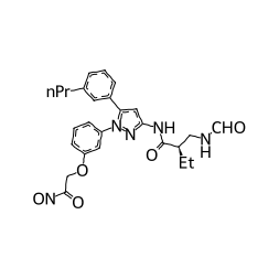 CCCc1cccc(-c2cc(NC(=O)[C@H](CC)CNC=O)nn2-c2cccc(OCC(=O)N=O)c2)c1